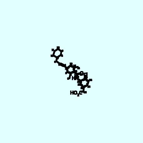 Cc1cc(C#CCC2CCCCC2)cc(C)c1C(=O)Nc1cc(CC(=O)O)ccc1Cl